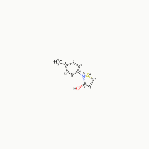 [CH2]c1ccc(-n2sccc2=O)cc1